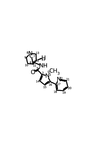 Cn1c(C(=O)N[C@H]2CN3CCC2CC3)ccc1-c1ccccn1